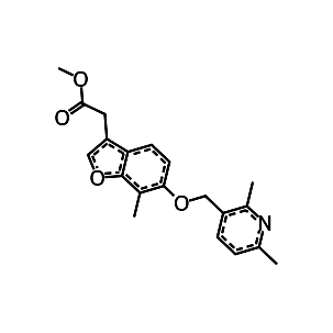 COC(=O)Cc1coc2c(C)c(OCc3ccc(C)nc3C)ccc12